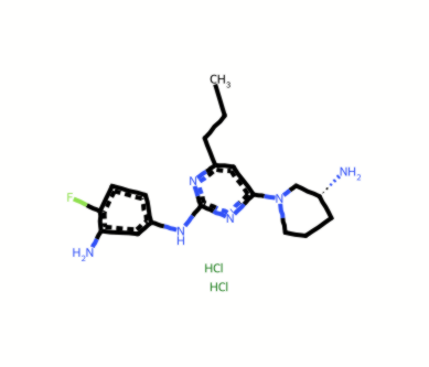 CCCc1cc(N2CCC[C@@H](N)C2)nc(Nc2ccc(F)c(N)c2)n1.Cl.Cl